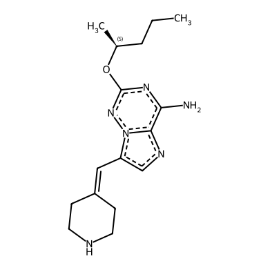 CCC[C@H](C)Oc1nc(N)c2ncc(C=C3CCNCC3)n2n1